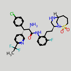 CC(F)(F)c1ccc([C@H](c2ccc(Cl)cc2)[C@H](N)C(=O)Nc2cccc(F)c2CC[C@H]2CN[C@@H]3CCCS(=O)(=O)N2C3)cn1